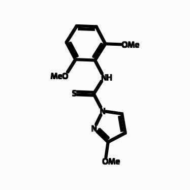 COc1ccn(C(=S)Nc2c(OC)cccc2OC)n1